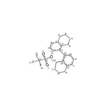 O=S(=O)(Oc1ccc2c(c1-c1cccc3c1CCCC3)CCCC2)C(F)(F)F